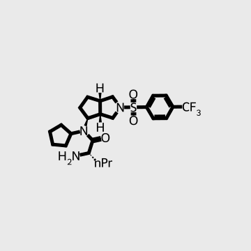 CCC[C@H](N)C(=O)N(C1CCCC1)[C@H]1CC[C@@H]2CN(S(=O)(=O)c3ccc(C(F)(F)F)cc3)C[C@@H]21